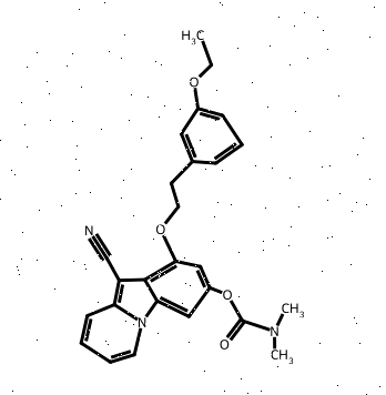 CCOc1cccc(CCOc2cc(OC(=O)N(C)C)cc3c2c(C#N)c2ccccn23)c1